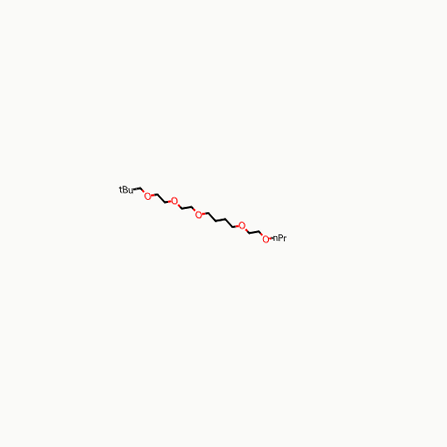 CCCOCCOCCCCOCCOCCOCC(C)(C)C